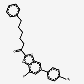 Cc1ccc(-c2cc(F)c3nc(C(=O)CCCCCc4ccccc4)oc3c2)cc1